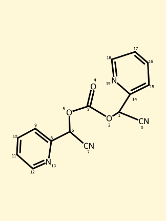 N#CC(OC(=O)OC(C#N)c1ccccn1)c1ccccn1